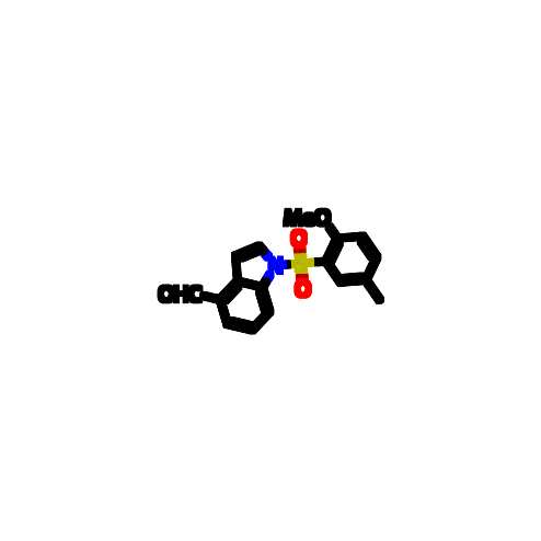 COc1ccc(C)cc1S(=O)(=O)n1ccc2c(C=O)cccc21